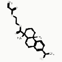 C=CC(=O)OCCOC(=O)C1(C)CCCC2(C)c3ccc(C(C)C)cc3CCC12